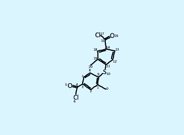 Cc1cc(C(=O)Cl)ccc1Sc1ccc(C(=O)Cl)cc1C